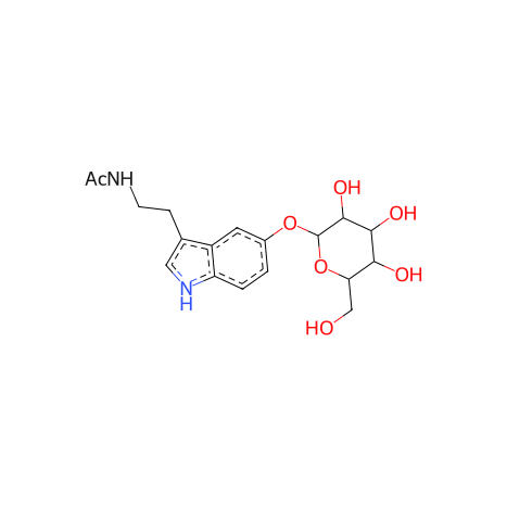 CC(=O)NCCc1c[nH]c2ccc(OC3OC(CO)C(O)C(O)C3O)cc12